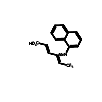 CC=CC=CC(=O)O.CNc1cccc2ccccc12